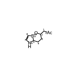 CC(=O)CC1CCC2NC=CB2O1